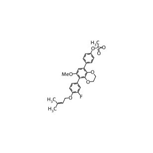 COc1cc(-c2ccc(OS(C)(=O)=O)cc2)c2c(c1-c1ccc(OCC=C(C)C)c(F)c1)OCCO2